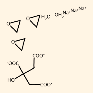 C1CO1.C1CO1.C1CO1.O.O.O=C([O-])CC(O)(CC(=O)[O-])C(=O)[O-].[Na+].[Na+].[Na+]